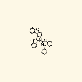 CC1(C)c2ccccc2-c2c1c1c3c(ccc1n2-c1nc(C2=CC=CCC2)c2ccccc2n1)oc1c#cccc13